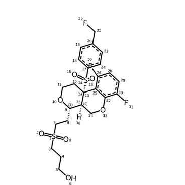 O=S(=O)(CCCO)CC[C@@H]1OCC[C@@]2(S(=O)(=O)c3ccc(CF)cc3)c3c(F)ccc(F)c3OC[C@@H]12